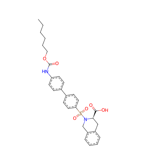 CCCCCCOC(=O)Nc1ccc(-c2ccc(S(=O)(=O)N3Cc4ccccc4C[C@@H]3C(=O)O)cc2)cc1